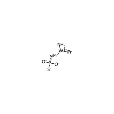 C[CH](C)[W+3]([NH2])[CH](C)C.[O-]P([O-])(=S)[S-]